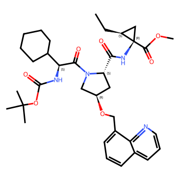 CC[C@H]1C[C@]1(NC(=O)[C@@H]1C[C@@H](OCc2cccc3cccnc23)CN1C(=O)[C@@H](NC(=O)OC(C)(C)C)C1CCCCC1)C(=O)OC